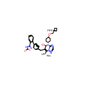 CCCc1c(Cc2ccc(-c3ccccc3-c3noc(=O)[nH]3)cc2)c(=O)n([C@H]2CC[C@H](OCC3(C#N)CCC3)CC2)c2ncnn12.[KH]